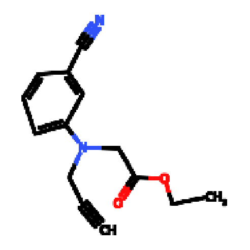 C#CCN(CC(=O)OCC)c1cccc(C#N)c1